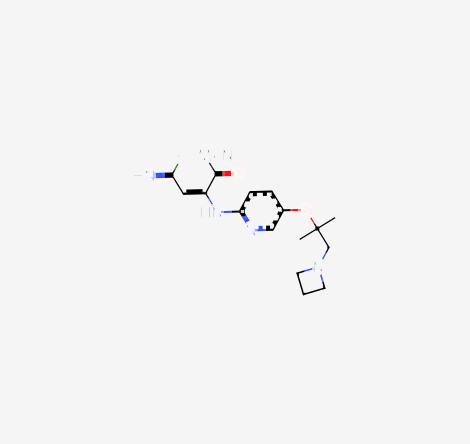 CNC(=O)/C(=C\C(=N)Cl)Nc1ccc(OC(C)(C)CN2CCC2)cn1